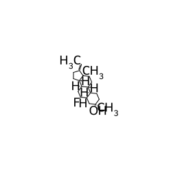 CC=C1CC[C@H]2[C@@H]3C[C@@H](F)[C@H]4C[C@](C)(O)CC[C@@H]4[C@H]3CC[C@]12C